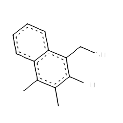 Cc1c(O)c(CN)c2ccccc2c1C